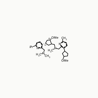 COC1CCC(c2ccc(C)nc2CN(C)CC2C[C@H](c3ccc(C(C)C)nc3CN(C)C)C[C@H]2OC)C1